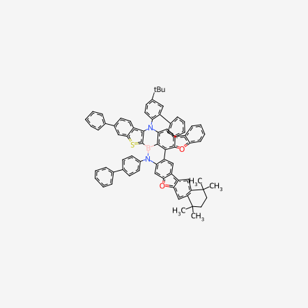 CC(C)(C)c1ccc(N2c3cc4c(oc5ccccc54)c4c3B(c3sc5cc(-c6ccccc6)ccc5c32)N(c2ccc(-c3ccccc3)cc2)c2cc3oc5cc6c(cc5c3cc2-4)C(C)(C)CCC6(C)C)c(-c2ccccc2)c1